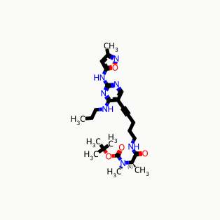 CCCNc1nc(Nc2cc(C)no2)ncc1C#CCCCNC(=O)[C@H](C)N(C)C(=O)OC(C)(C)C